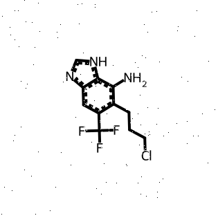 Nc1c(CCCCl)c(C(F)(F)F)cc2nc[nH]c12